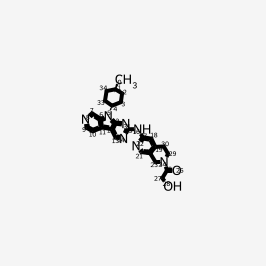 C[C@H]1CC[C@H](n2c3cnccc3c3cnc(Nc4cc5c(cn4)CN(C(=O)CO)CC5)nc32)CC1